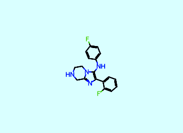 Fc1ccc(Nc2c(-c3ccccc3F)nc3n2CCNC3)cc1